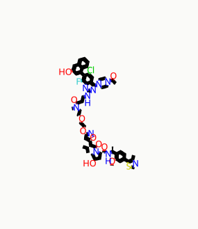 COc1cc(-c2scnc2C)ccc1[C@H](C)NC(=O)[C@@H]1C[C@@H](O)CN1C(=O)[C@@H](c1cc(OCCOCCN(C)C(=O)CCNc2nc(N3CCN(C(C)=O)CC3)c3cc(Cl)c(-c4cc(O)cc5ccccc45)c(F)c3n2)no1)C(C)C